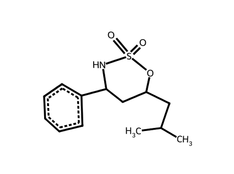 CC(C)CC1CC(c2ccccc2)NS(=O)(=O)O1